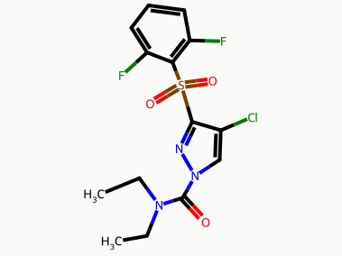 CCN(CC)C(=O)n1cc(Cl)c(S(=O)(=O)c2c(F)cccc2F)n1